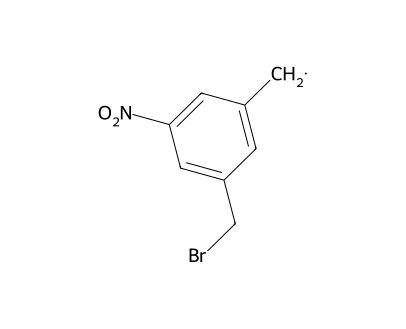 [CH2]c1cc(CBr)cc([N+](=O)[O-])c1